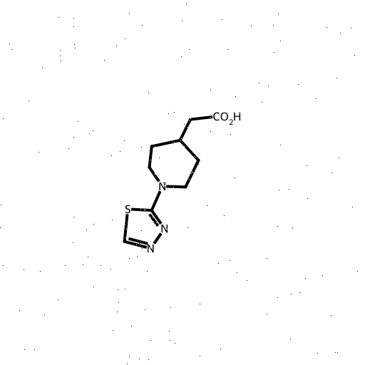 O=C(O)CC1CCN(c2nncs2)CC1